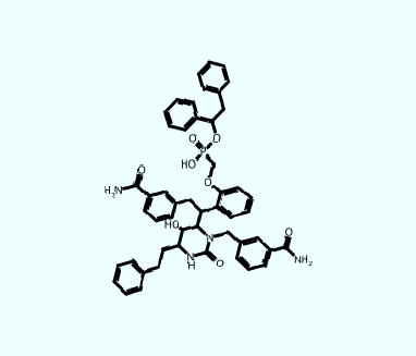 NC(=O)c1cccc(CC(c2ccccc2OCP(=O)(O)OC(Cc2ccccc2)c2ccccc2)C2C(O)C(CCc3ccccc3)NC(=O)N2Cc2cccc(C(N)=O)c2)c1